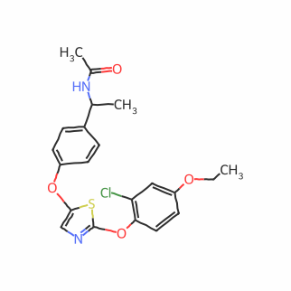 CCOc1ccc(Oc2ncc(Oc3ccc(C(C)NC(C)=O)cc3)s2)c(Cl)c1